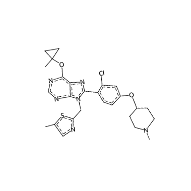 Cc1cnc(Cn2c(-c3ccc(OC4CCN(C)CC4)cc3Cl)nc3c(OC4(C)CC4)ncnc32)s1